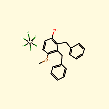 C[SH+]c1ccc(O)c(Cc2ccccc2)c1Cc1ccccc1.[F][Sb-]([F])([F])([F])([F])[F]